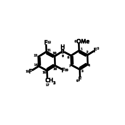 COc1c(F)cc(F)cc1Bc1c(F)cc(F)c(C)c1F